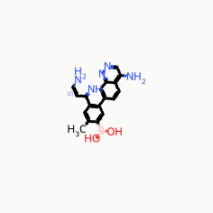 Cc1cc(C(=N)/C=C\N)c(-c2ccc3c(N)cnnc3c2)cc1B(O)O